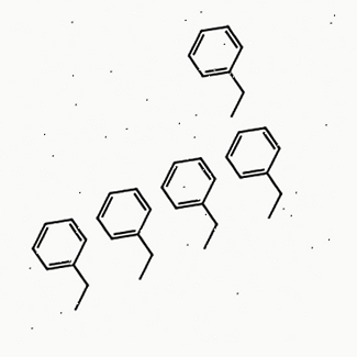 CCc1ccccc1.CCc1ccccc1.CCc1ccccc1.CCc1ccccc1.CCc1ccccc1